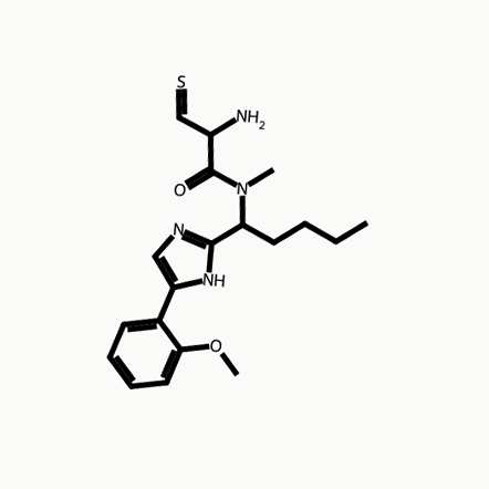 CCCCC(c1ncc(-c2ccccc2OC)[nH]1)N(C)C(=O)C(N)C=S